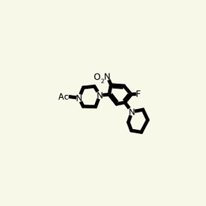 CC(=O)N1CCN(c2cc(N3CCCCC3)c(F)cc2[N+](=O)[O-])CC1